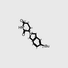 CC(C)(C)c1ccc2c(c1)CN(C1CCC(=O)NC1=O)C2